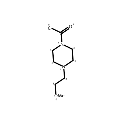 COCCN1CCN(C(=O)Cl)CC1